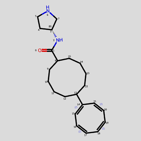 O=C(N[C@@H]1CCNC1)C1CCCCC(C2=C/C=C\C=C/C=C\2)CCCC1